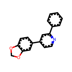 c1ccc(-c2cc(-c3ccc4c(c3)OCO4)ccn2)cc1